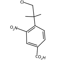 CC(C)(CCl)c1ccc(C(=O)O)cc1[N+](=O)[O-]